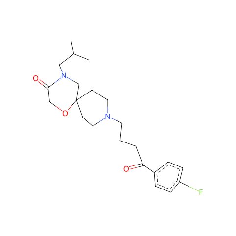 CC(C)CN1CC2(CCN(CCCC(=O)c3ccc(F)cc3)CC2)OCC1=O